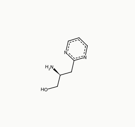 N[C@H](CO)Cc1ncccn1